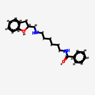 O=C(NCCCCCCNCC1Cc2ccccc2O1)c1ccccc1